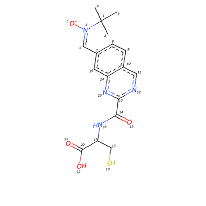 CC(C)(C)/[N+]([O-])=C\c1ccc2cnc(C(=O)NC(CS)C(=O)O)nc2c1